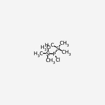 C[Si](C)(C)P(Cl)[Si](C)(C)C